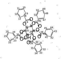 O=C(O[C@@H]1[C@@H](OC(=O)c2ccccc2)[C@H](OC(=O)c2ccccc2)[C@H](O)[C@H](OC(=O)c2ccccc2)[C@H]1OC(=O)c1ccccc1)c1ccccc1